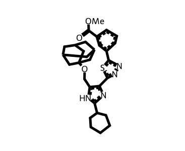 COC(=O)c1cccc(-c2nnc(-c3nc(C4CCCCC4)[nH]c3COC34CC5CC(CC(C5)C3)C4)s2)c1